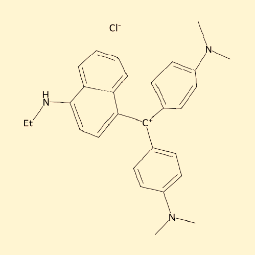 CCNc1ccc([C+](c2ccc(N(C)C)cc2)c2ccc(N(C)C)cc2)c2ccccc12.[Cl-]